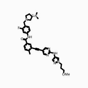 COCCCn1cc(Nc2ncc(C#Cc3cc(C(=O)Nc4ccc(CN5CC[C@H](N(C)C)C5)c(F)c4)ccc3C)cn2)cn1